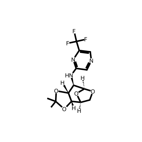 CC1(C)O[C@@H]2[C@@H](Nc3cncc(C(F)(F)F)n3)[C@H]3OC[C@H](O3)[C@@H]2O1